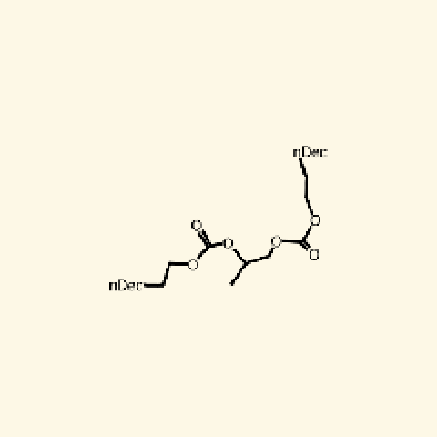 CCCCCCCCCCCCOC(=O)OCC(C)OC(=O)OCCCCCCCCCCCC